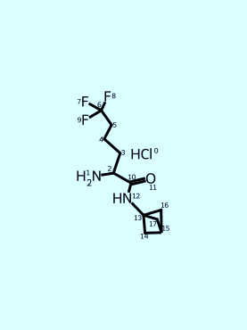 Cl.NC(CCCC(F)(F)F)C(=O)NC12CC(C1)C2